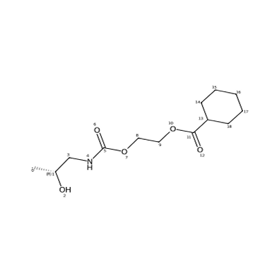 [CH2][C@@H](O)CNC(=O)OCCOC(=O)C1CCCCC1